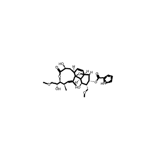 COC[C@@H]1[C@@H](O)[C@@H]2[C@H]3C=C[C@@H]4C[C@H](O)C(=O)O[C@H]([C@H](O)COC)[C@H](C)/C=C(\C)[C@@]24O[C@H]3[C@@H]1OC(=O)c1ccc[nH]1